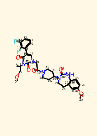 COCC(C)n1c(=O)c(-c2cccc(F)c2F)cn(CC(=O)N2CCC(N3CCc4cc(OC)ccc4NC3=O)CC2)c1=O